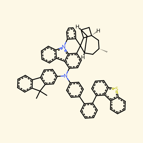 C[C@H]1C[C@@H]2C[C@@H]3C[C@H](C1)C1(c4ccccc4-n4c5ccccc5c5c(N(c6ccc(-c7ccccc7-c7cccc8sc9ccccc9c78)cc6)c6ccc7c(c6)C(C)(C)c6ccccc6-7)ccc1c54)C23